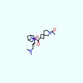 CC(=O)N1CCC2(CC(C(=O)N3CC4CC(C3)N4C(=O)/C=C/CN(C)C)C2)C1